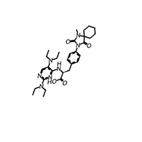 CCN(CC)c1ncc(N(CC)CC)c(N[C@@H](Cc2ccc(N3C(=O)N(C)C4(CCCCC4)C3=O)cc2)C(=O)O)n1